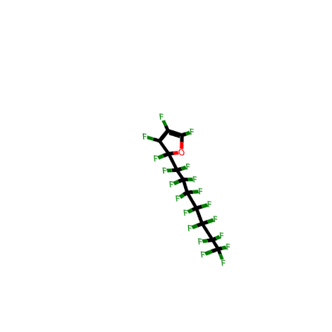 FC1=C(F)C(F)C(F)(C(F)(F)C(F)(F)C(F)(F)C(F)(F)C(F)(F)C(F)(F)C(F)(F)F)O1